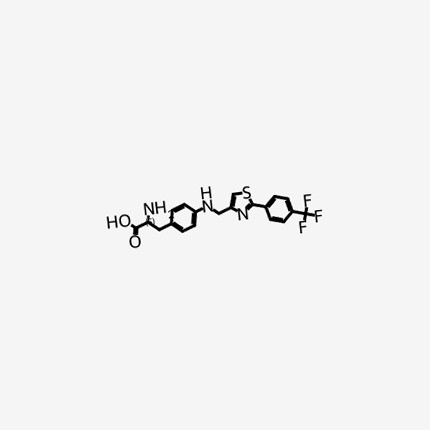 N[C@@H](Cc1ccc(NCc2csc(-c3ccc(C(F)(F)F)cc3)n2)cc1)C(=O)O